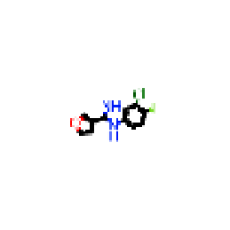 N=C(Nc1ccc(F)c(Cl)c1)c1ccoc1